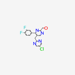 O=Cc1ncc(Cc2ncc(Cl)cn2)c(-c2ccc(F)c(F)c2)n1